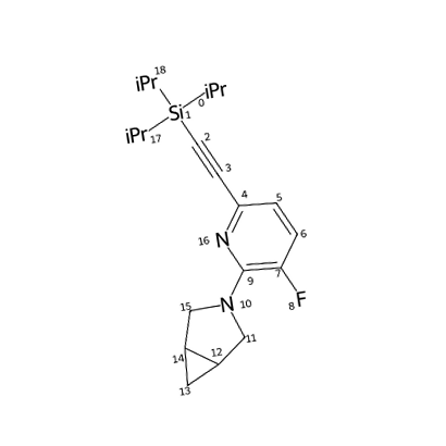 CC(C)[Si](C#Cc1ccc(F)c(N2CC3CC3C2)n1)(C(C)C)C(C)C